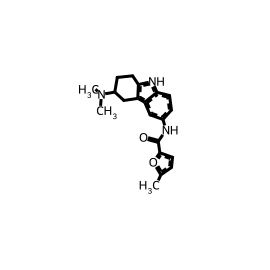 Cc1ccc(C(=O)Nc2ccc3[nH]c4c(c3c2)CC(N(C)C)CC4)o1